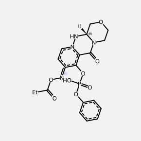 CCC(=O)O/N=c1\ccn2c(c1OP(=O)(O)Oc1ccccc1)C(=O)N1CCOC[C@H]1N2